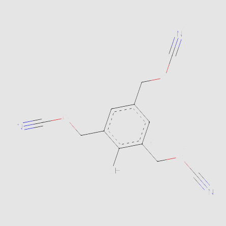 Cc1c(COC#N)cc(COC#N)cc1COC#N